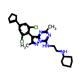 Cc1nc(NCCNC2CCCCC2)n2nc(C)c(-c3c(Cl)cc(C4=CCCC4)cc3Cl)c2n1